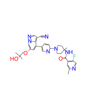 Cc1cc(C(=O)NC2(C)CCN(c3ccc(-c4cc(OCC(C)(C)O)cn5ncc(C#N)c45)cn3)CC2)c(F)cn1